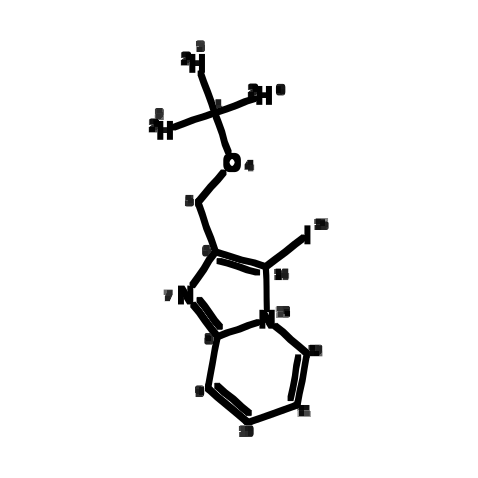 [2H]C([2H])([2H])OCc1nc2ccccn2c1I